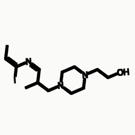 C/C=C(I)\N=C/C(C)CN1CCN(CCO)CC1